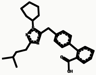 CC(C)CCc1nc(Cc2ccc(-c3ccccc3C(=O)O)cc2)n(C2CCCCC2)n1